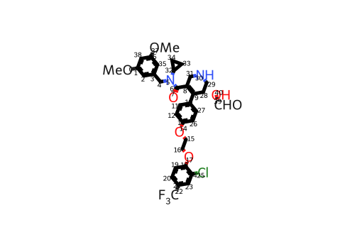 COc1cc(CN(C(=O)C2=C(c3ccc(OCCOc4ccc(C(F)(F)F)cc4Cl)cc3)CCNC2)C2CC2)cc(OC)c1.O=CO